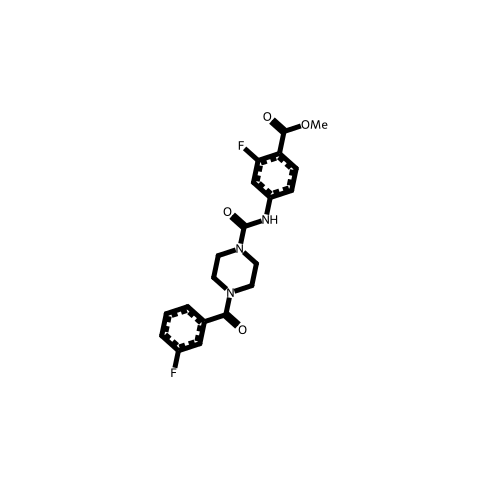 COC(=O)c1ccc(NC(=O)N2CCN(C(=O)c3cccc(F)c3)CC2)cc1F